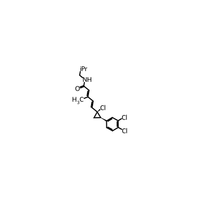 CC(/C=C/[C@@]1(Cl)C[C@@H]1c1ccc(Cl)c(Cl)c1)=C\C(=O)NCC(C)C